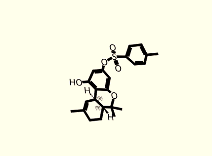 CC1=C[C@H]2c3c(O)cc(OS(=O)(=O)c4ccc(C)cc4)cc3OC(C)(C)[C@@H]2CC1